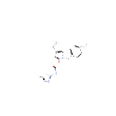 CC(C)Cc1cc(OC(=O)Nc2ncc(Cl)s2)n(Cc2ccc(Cl)cc2)c1